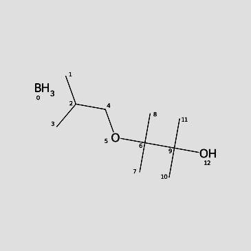 B.CC(C)COC(C)(C)C(C)(C)O